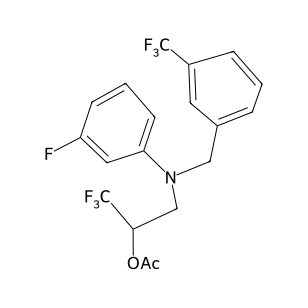 CC(=O)OC(CN(Cc1cccc(C(F)(F)F)c1)c1cccc(F)c1)C(F)(F)F